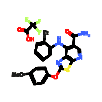 CCc1ccccc1Nc1c(C(N)=O)cnc2sc(Oc3ccc(OC)cc3)nc12.O=C(O)C(F)(F)F